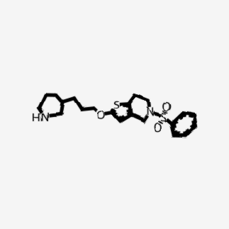 O=S(=O)(c1ccccc1)N1CCc2sc(OCCCC3CCCNC3)cc2C1